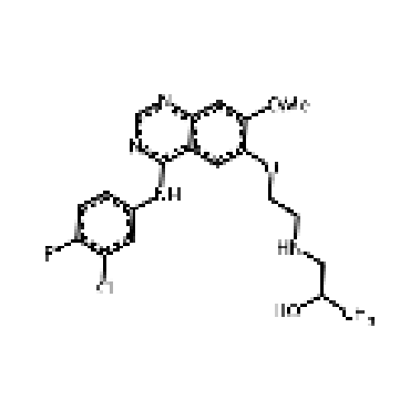 COc1cc2ncnc(Nc3ccc(F)c(Cl)c3)c2cc1OCCNCC(C)O